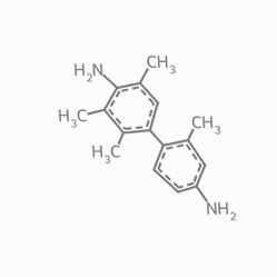 Cc1cc(N)ccc1-c1cc(C)c(N)c(C)c1C